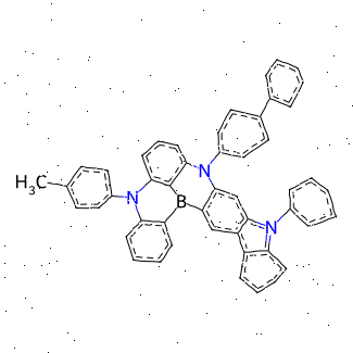 Cc1ccc(N2c3ccccc3B3c4cc5c6ccccc6n(-c6ccccc6)c5cc4N(c4ccc(-c5ccccc5)cc4)c4cccc2c43)cc1